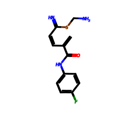 C=C(/C=C\C(=N)SCN)C(=O)Nc1ccc(F)cc1